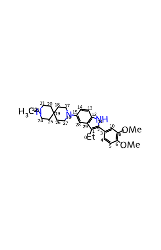 CCc1c(-c2ccc(OC)c(OC)c2)[nH]c2ccc(N3CCC4(CCN(C)CC4)CC3)cc12